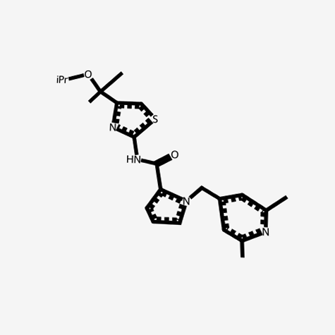 Cc1cc(Cn2cccc2C(=O)Nc2nc(C(C)(C)OC(C)C)cs2)cc(C)n1